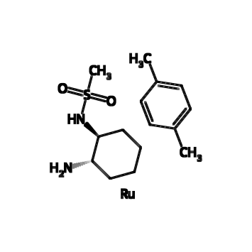 CS(=O)(=O)N[C@H]1CCCC[C@@H]1N.Cc1ccc(C)cc1.[Ru]